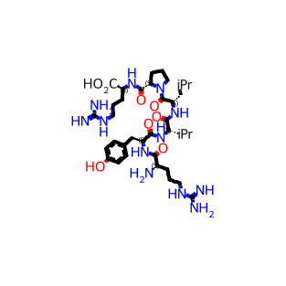 CC(C)C[C@H](NC(=O)[C@@H](NC(=O)[C@H](Cc1ccc(O)cc1)NC(=O)[C@@H](N)CCCNC(=N)N)C(C)C)C(=O)N1CCC[C@H]1C(=O)N[C@@H](CCCNC(=N)N)C(=O)O